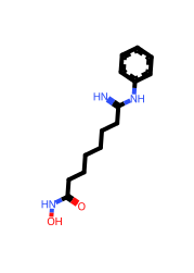 N=C(CCCCCCC(=O)NO)Nc1ccccc1